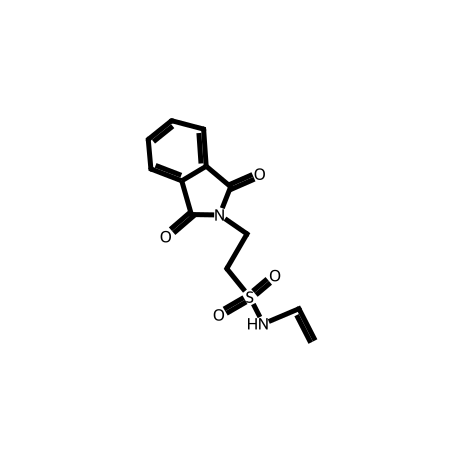 C=CNS(=O)(=O)CCN1C(=O)c2ccccc2C1=O